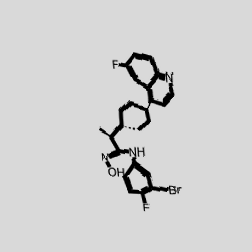 C[C@H](/C(=N/O)Nc1ccc(F)c(Br)c1)[C@H]1CC[C@H](c2ccnc3ccc(F)cc32)CC1